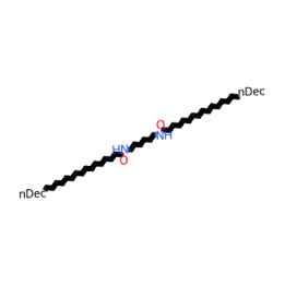 CCCCCCCCCCCCCCCCCCCCCCCCCC(=O)NCCCCCCNC(=O)CCCCCCCCCCCCCCCCCCCCCCCCC